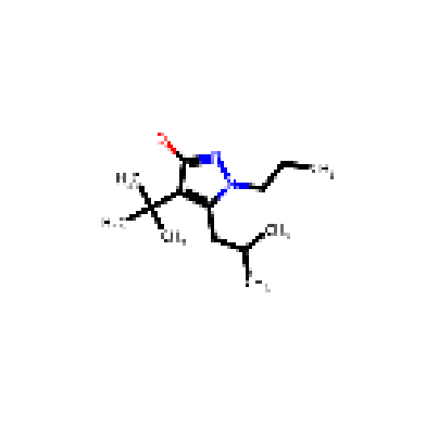 CCCn1nc(O)c(C(C)(C)C)c1CC(C)C